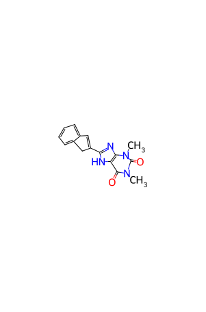 Cn1c(=O)c2[nH]c(C3=Cc4ccccc4C3)nc2n(C)c1=O